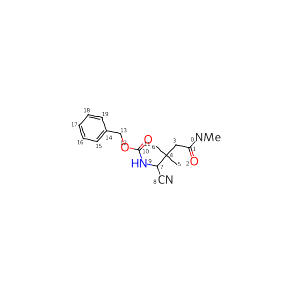 CNC(=O)CC(C)(C)C(C#N)NC(=O)OCc1ccccc1